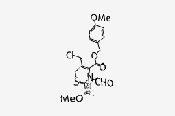 COc1ccc(COC(=O)C2=C(CCl)CS[C@H]([C@H](C)OC)N2C=O)cc1